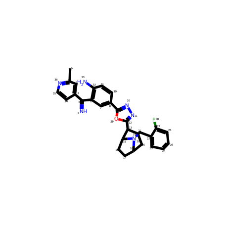 Cc1cc(C(=N)c2cc(-c3nnc(C4CCC5CCC4N5Cc4ccccc4F)o3)ccc2N)ccn1